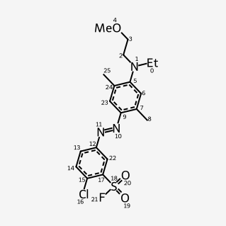 CCN(CCOC)c1cc(C)c(/N=N/c2ccc(Cl)c(S(=O)(=O)F)c2)cc1C